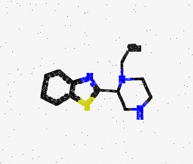 CC(C)(C)CN1CCNCC1c1nc2ccccc2s1